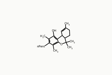 CCCCCc1c(C)c(O)c2c(c1C)OC(C)(C)C1CCC(C)=CC21